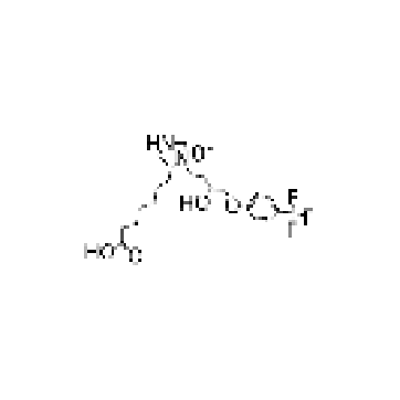 O=C(O)CCCCCCC1CNC[N+]1([O-])CCC(O)COc1ccc(C(F)(F)F)cc1